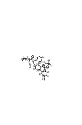 CC(C)CC(C(=O)NCC#N)c1ccccc1-c1cccc(C2CNCCN2C(=O)OC(C)(C)C)c1